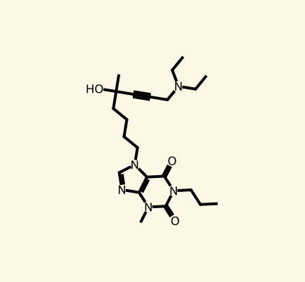 CCCn1c(=O)c2c(ncn2CCCCC(C)(O)C#CCN(CC)CC)n(C)c1=O